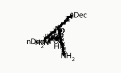 CCCCCCCCCCCCCCCCCCN(CCCCCCCCCCCCCCCCCC)C(=O)COC(CCCNCCCN)C(=O)ONCCCN